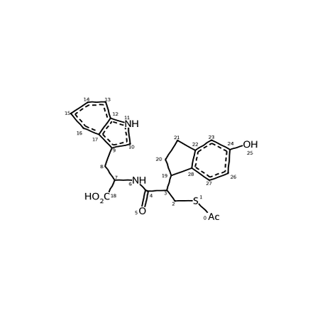 CC(=O)SCC(C(=O)NC(Cc1c[nH]c2ccccc12)C(=O)O)C1CCc2cc(O)ccc21